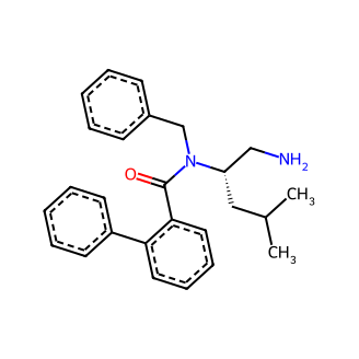 CC(C)C[C@@H](CN)N(Cc1ccccc1)C(=O)c1ccccc1-c1ccccc1